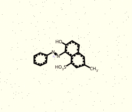 Cc1cc(S(=O)(=O)O)c2c(/N=N/c3ccccc3)c(O)ccc2c1